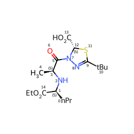 CCC[C@H](N[C@@H](C)C(=O)N1N=C(C(C)(C)C)S[C@H]1C(=O)O)C(=O)OCC